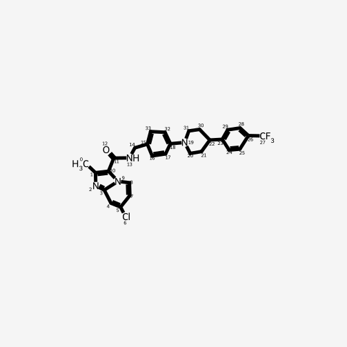 Cc1nc2cc(Cl)ccn2c1C(=O)NCc1ccc(N2CCC(c3ccc(C(F)(F)F)cc3)CC2)cc1